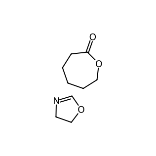 C1=NCCO1.O=C1CCCCCO1